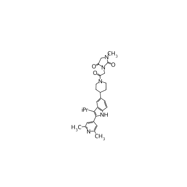 Cc1cc(-c2[nH]c3ccc(C4CCN(C(=O)CN5C(=O)CN(C)C5=O)CC4)cc3c2C(C)C)cc(C)n1